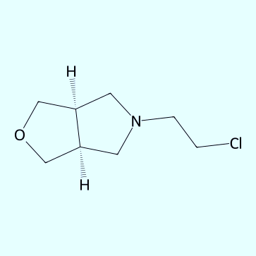 ClCCN1C[C@H]2COC[C@H]2C1